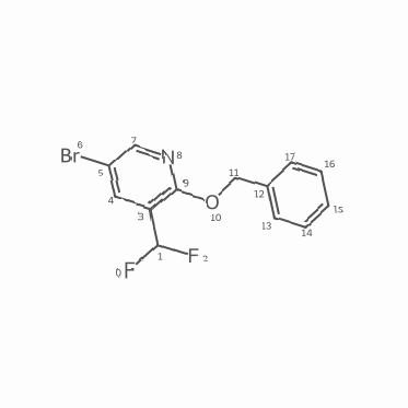 FC(F)c1cc(Br)cnc1OCc1ccccc1